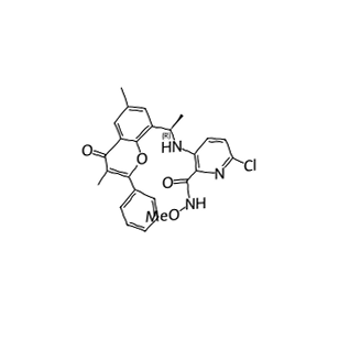 CONC(=O)c1nc(Cl)ccc1N[C@H](C)c1cc(C)cc2c(=O)c(C)c(-c3ccccc3)oc12